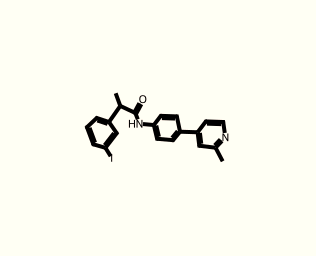 Cc1cc(-c2ccc(NC(=O)C(C)c3cccc(I)c3)cc2)ccn1